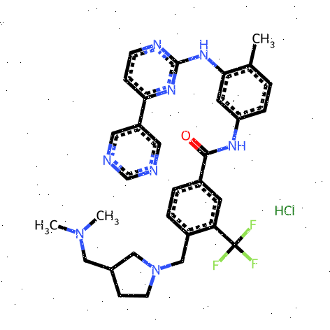 Cc1ccc(NC(=O)c2ccc(CN3CCC(CN(C)C)C3)c(C(F)(F)F)c2)cc1Nc1nccc(-c2cncnc2)n1.Cl